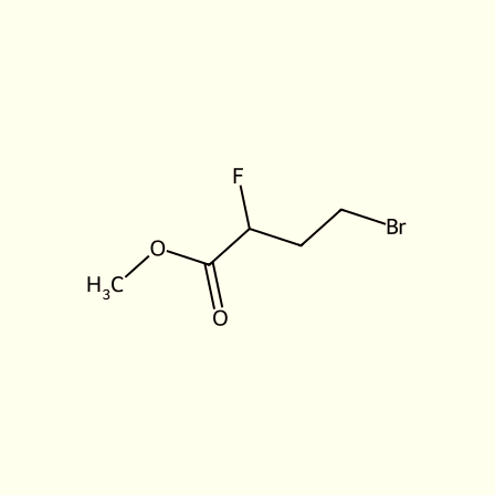 COC(=O)C(F)CCBr